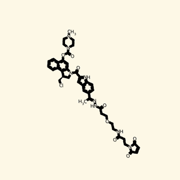 C/C(=N\NC(=O)CCOCCNC(=O)CCN1C(=O)C=CC1=O)c1ccc2[nH]c(C(=O)N3C[C@@H](CCl)c4c3cc(OC(=O)N3CCN(C)CC3)c3ccccc43)cc2c1